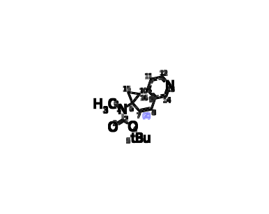 CN(C(=O)OC(C)(C)C)C1(/C=C\c2cccnc2)CC1